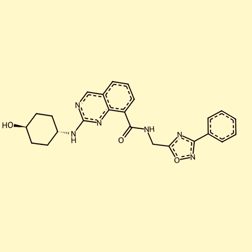 O=C(NCc1nc(-c2ccccc2)no1)c1cccc2cnc(N[C@H]3CC[C@H](O)CC3)nc12